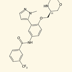 Cn1nccc1-c1cc(NC(=O)c2cccc(C(F)(F)F)c2)ccc1OC[C@@H]1COCCN1